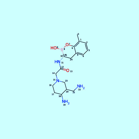 Cc1cccc2c1OB(O)[C@@H](NC(=O)CN1CCC(N)C(CN)C1)C2